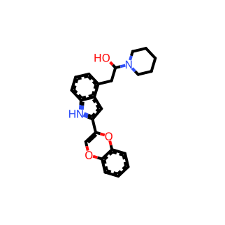 OC(Cc1cccc2[nH]c(C3=COc4ccccc4O3)cc12)N1CCCCC1